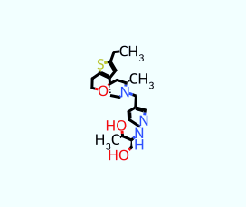 CCc1cc2c(s1)CCO[C@@]21CCN(Cc2ccc(N[C@@H](CO)[C@@H](C)O)nc2)[C@@H](C)C1